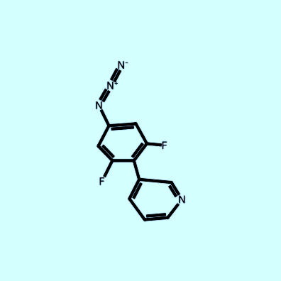 [N-]=[N+]=Nc1cc(F)c(-c2cccnc2)c(F)c1